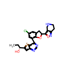 CC[C@@H](O)c1cc2ncnc(-c3cc(Cl)cc4c3OC(c3onc5c3CNCC5)C4)c2s1